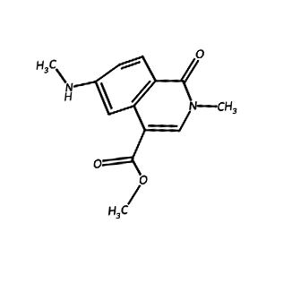 CNc1ccc2c(=O)n(C)cc(C(=O)OC)c2c1